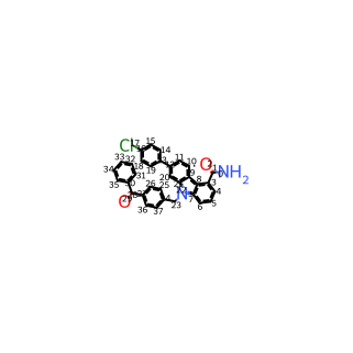 NC(=O)c1cccc2c1c1[c]cc(-c3ccc(Cl)cc3)cc1n2Cc1ccc(C(=O)c2ccccc2)cc1